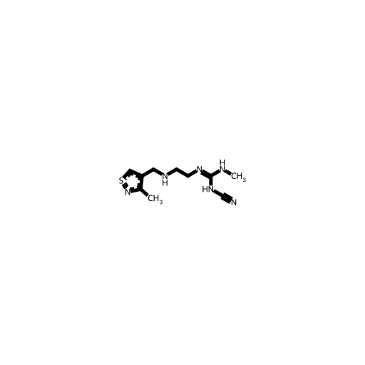 CN/C(=N/CCNCc1csnc1C)NC#N